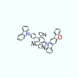 N#Cc1cc(-n2c3ccccc3c3cc4oc5ccccc5c4cc32)c(C#N)c(C#N)c1-c1ccc(-n2c3ccccc3c3ccccc32)cc1